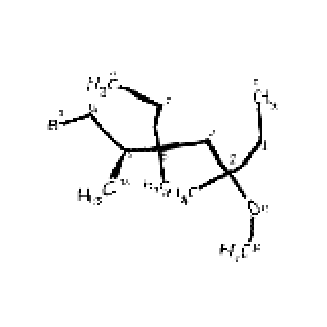 CCC(C)(CC(C)(CC)[C@@H](C)CBr)OC